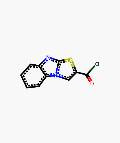 O=C(Cl)c1cn2c(nc3ccccc32)s1